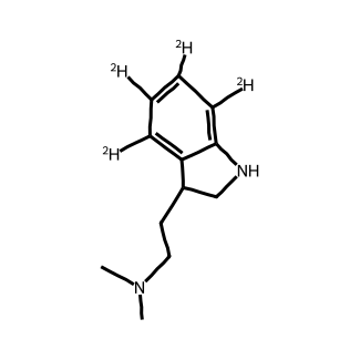 [2H]c1c([2H])c([2H])c2c(c1[2H])NCC2CCN(C)C